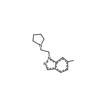 Cc1ccc2cnn(CCN3CCCC3)c2c1